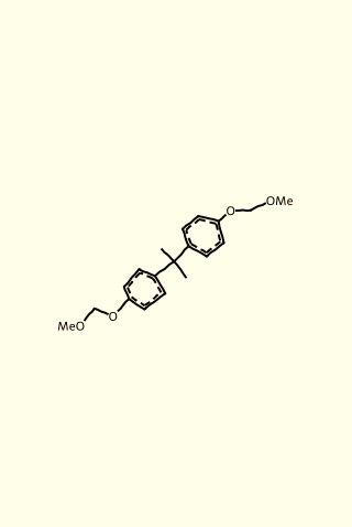 COCOc1ccc(C(C)(C)c2ccc(OCOC)cc2)cc1